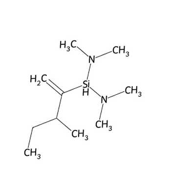 C=C(C(C)CC)[SiH](N(C)C)N(C)C